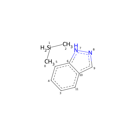 C[SiH2]C.c1ccc2[nH]ncc2c1